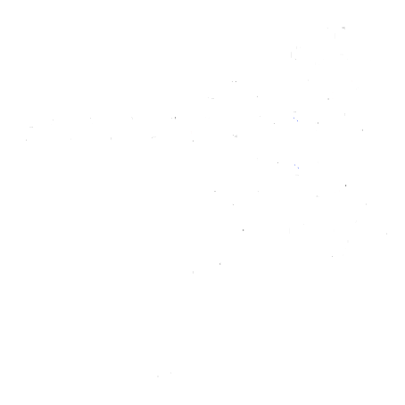 CCCCCCCCOc1cccc(-c2nc3c(B4OC(C)(C)C(C)(C)O4)ccc(B4OC(C)(C)C(C)(C)O4)c3nc2-c2cccc(OCCCCCCCC)c2)c1